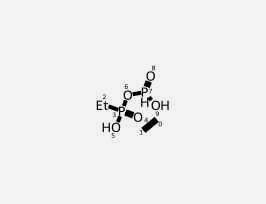 C=C.CCP(=O)(O)O[PH](=O)O